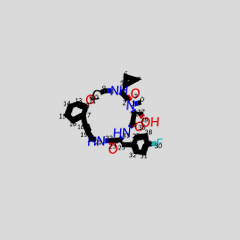 CN1C(=O)[C@H](C2CC2)NCCOc2ccccc2/C=C/CNC(=O)[C@@H](Cc2ccc(F)cc2)NC(=O)[C@@H]1CO